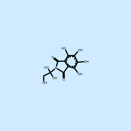 O=C1c2c(O)c(O)c(O)c(O)c2C(=O)N1C(O)(O)CO